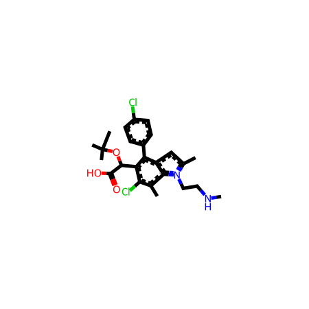 CNCCn1c(C)cc2c(-c3ccc(Cl)cc3)c(C(OC(C)(C)C)C(=O)O)c(Cl)c(C)c21